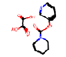 O=C(O)C(=O)O.O=C(Oc1cccnc1)N1CCCCC1